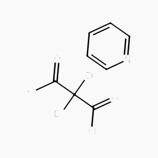 CCC(CC)(C(=O)Cl)C(=O)Cl.c1ccncc1